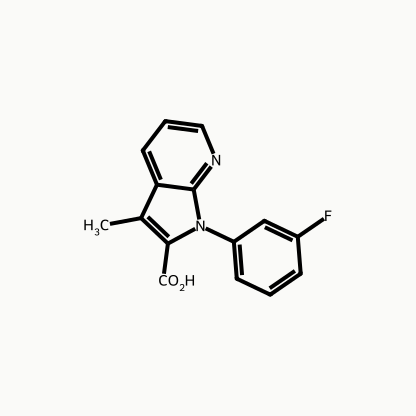 Cc1c(C(=O)O)n(-c2cccc(F)c2)c2ncccc12